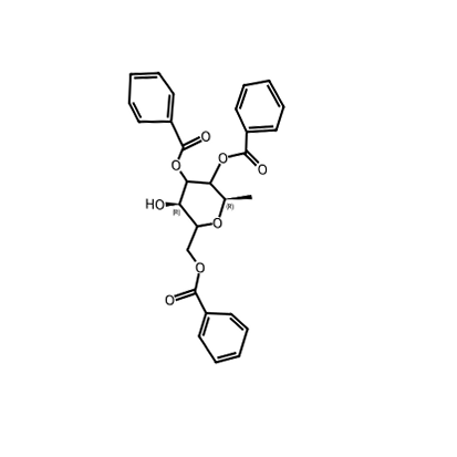 C[C@H]1OC(COC(=O)c2ccccc2)[C@@H](O)C(OC(=O)c2ccccc2)C1OC(=O)c1ccccc1